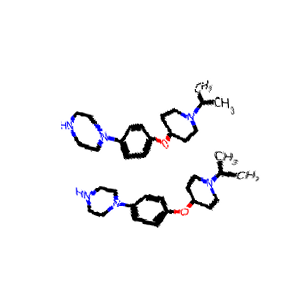 CC(C)N1CCC(Oc2ccc(N3CCNCC3)cc2)CC1.CC(C)N1CCC(Oc2ccc(N3CCNCC3)cc2)CC1